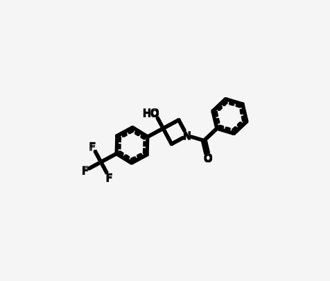 O=C(c1ccccc1)N1CC(O)(c2ccc(C(F)(F)F)cc2)C1